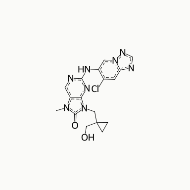 Cn1c(=O)n(CC2(CO)CC2)c2nc(Nc3cn4ncnc4cc3Cl)ncc21